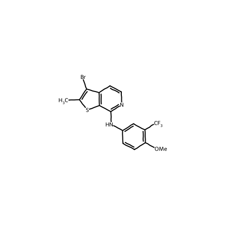 COc1ccc(Nc2nccc3c(Br)c(C)sc23)cc1C(F)(F)F